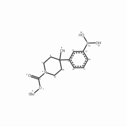 CC(C)(C)OC(=O)N1CCC(C#N)(c2cccc(B(O)O)c2)CC1